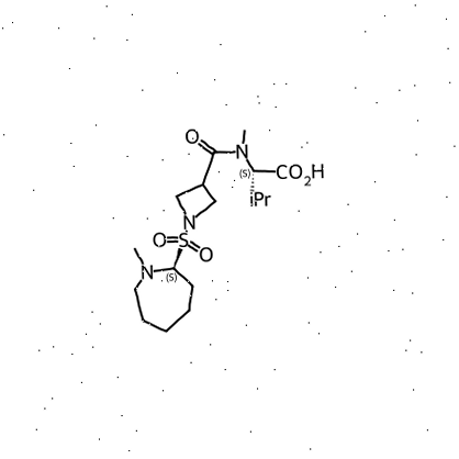 CC(C)[C@@H](C(=O)O)N(C)C(=O)C1CN(S(=O)(=O)[C@H]2CCCCCN2C)C1